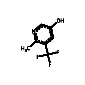 Cc1ncc(O)cc1C(F)(F)F